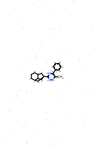 Cc1nnc(C23CC4CCCC(C2)C4C3)nc1-c1ccccc1